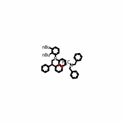 CCCCc1cccc(N(CC(c2ccccc2)c2ccccc2)c2ccccc2)c1CCCC.CN(Cc1ccccc1)Cc1ccccc1